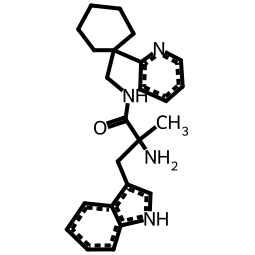 CC(N)(Cc1c[nH]c2ccccc12)C(=O)NCC1(c2ccccn2)CCCCC1